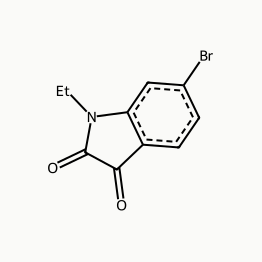 CCN1C(=O)C(=O)c2ccc(Br)cc21